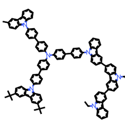 CCn1c2ccccc2c2cc(-c3ccc4c(c3)c3cc(-c5ccc6c(c5)c5ccccc5n6-c5ccc(-c6ccc(N(c7ccc(-c8ccc(-n9c%10ccccc%10c%10cc(C)ccc%109)cc8)cc7)c7ccc(-c8ccc(-n9c%10ccc(C(C)(C)C)cc%10c%10cc(C(C)(C)C)ccc%109)cc8)cc7)cc6)cc5)ccc3n4CC)ccc21